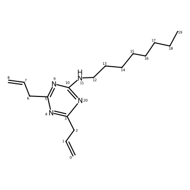 C=CCc1nc(CC=C)nc(NCCCCCCCC)n1